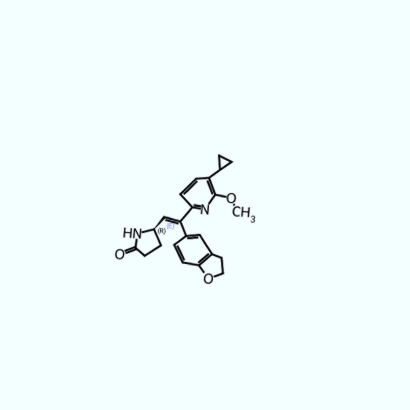 COc1nc(/C(=C/[C@H]2CCC(=O)N2)c2ccc3c(c2)CCO3)ccc1C1CC1